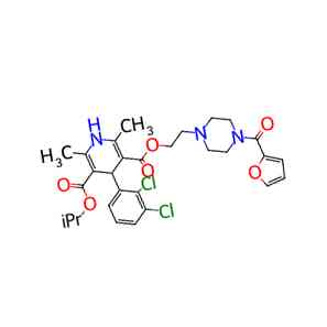 CC1=C(C(=O)OCCN2CCN(C(=O)c3ccco3)CC2)C(c2cccc(Cl)c2Cl)C(C(=O)OC(C)C)=C(C)N1